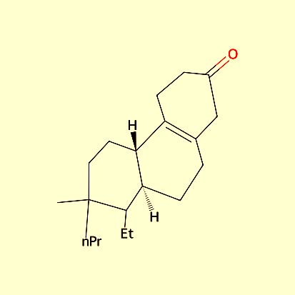 CCCC1(C)CC[C@@H]2C3=C(CC[C@H]2C1CC)CC(=O)CC3